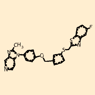 Cc1nc2cnccc2n1-c1ccc(OCc2cccc(SCc3nc4cc(F)ccc4s3)c2)cc1